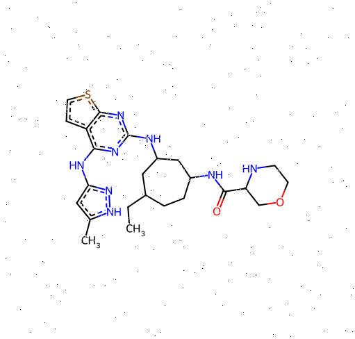 CCC1CCC(NC(=O)C2COCCN2)CC(Nc2nc(Nc3cc(C)[nH]n3)c3ccsc3n2)C1